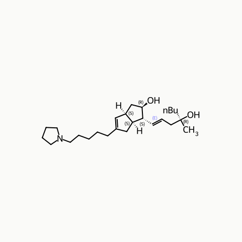 CCCC[C@@](C)(O)C/C=C/[C@@H]1[C@H]2CC(CCCCCN3CCCC3)=C[C@H]2C[C@H]1O